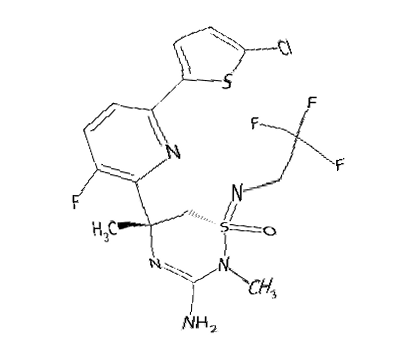 CN1C(N)=N[C@](C)(c2nc(-c3ccc(Cl)s3)ccc2F)C[S@@]1(=O)=NCC(F)(F)F